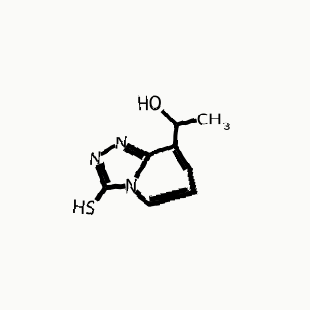 CC(O)c1cccn2c(S)nnc12